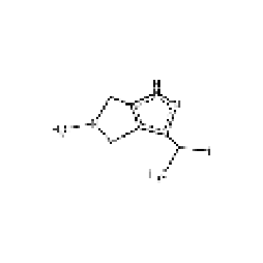 CC(I)c1n[nH]c2c1CN(C)C2